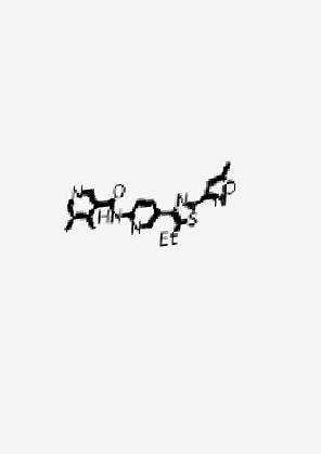 CCc1sc(-c2cc(C)on2)nc1-c1ccc(NC(=O)c2cncc(C)c2C)nc1